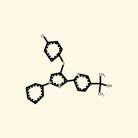 CC(C)(O)c1ccc(-c2nn(-c3ccccc3)cc2Sc2ccc(Cl)cc2)nc1